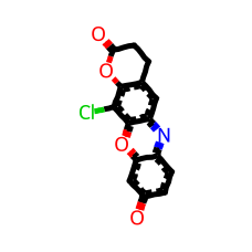 O=C1CCc2cc3nc4ccc(=O)cc-4oc3c(Cl)c2O1